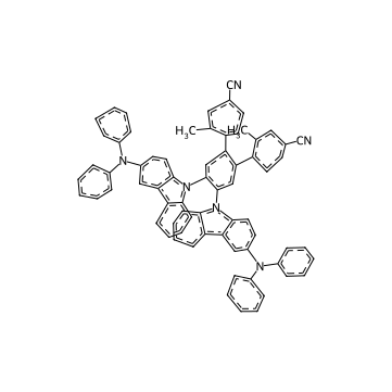 Cc1cc(C#N)ccc1-c1cc(-n2c3ccccc3c3cc(N(c4ccccc4)c4ccccc4)ccc32)c(-n2c3ccccc3c3cc(N(c4ccccc4)c4ccccc4)ccc32)cc1-c1ccc(C#N)cc1C